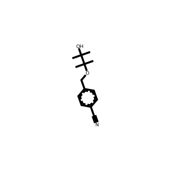 CC(C)(O)C(C)(C)OCc1ccc(C#N)cc1